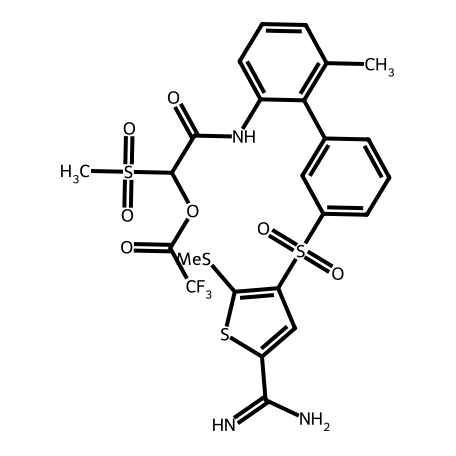 CSc1sc(C(=N)N)cc1S(=O)(=O)c1cccc(-c2c(C)cccc2NC(=O)C(OC(=O)C(F)(F)F)S(C)(=O)=O)c1